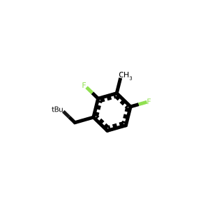 Cc1c(F)ccc(CC(C)(C)C)c1F